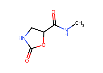 CNC(=O)C1CNC(=O)O1